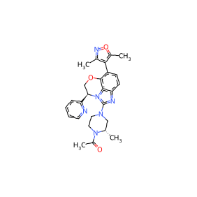 CC(=O)N1CCN(c2nc3ccc(-c4c(C)noc4C)c4c3n2[C@@H](c2ccccn2)CO4)C[C@@H]1C